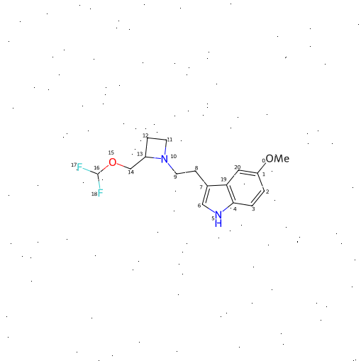 COc1ccc2[nH]cc(CCN3CCC3COC(F)F)c2c1